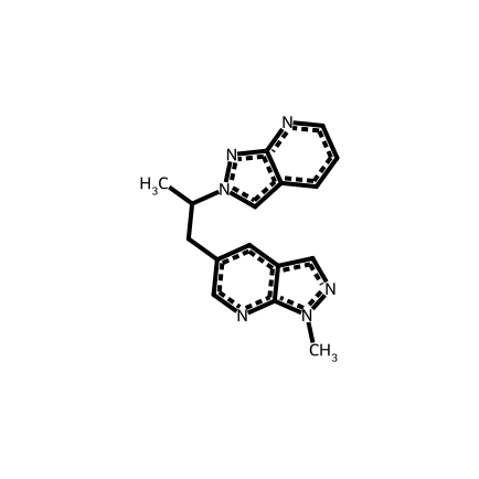 CC(Cc1cnc2c(cnn2C)c1)n1cc2cccnc2n1